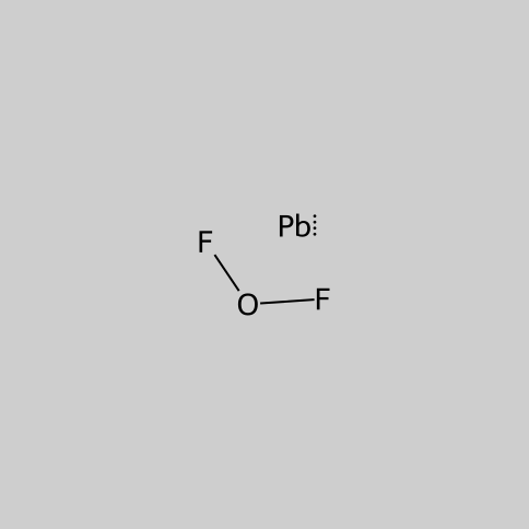 FOF.[Pb]